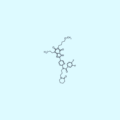 CCCn1c(=O)n(CCCCOC)c(=O)c2[nH]c(-c3ccc(N(CCCN4CCCCC4=O)C(=O)c4ccc(F)c(F)c4)nc3)nc21